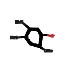 CNc1cc(Br)c(OC)cc1SC